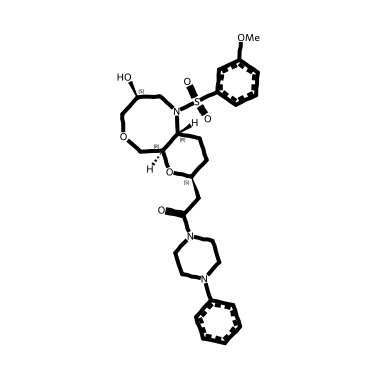 COc1cccc(S(=O)(=O)N2C[C@H](O)COC[C@@H]3O[C@H](CC(=O)N4CCN(c5ccccc5)CC4)CC[C@H]32)c1